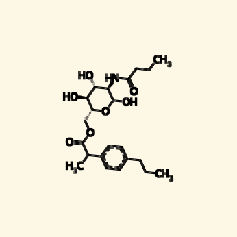 CCCC(=O)N[C@H]1C(O)O[C@H](COC(=O)C(C)c2ccc(CCC)cc2)[C@@H](O)[C@@H]1O